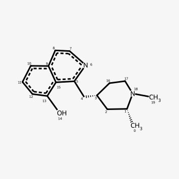 C[C@@H]1C[C@H](Cc2nccc3cccc(O)c23)CCN1C